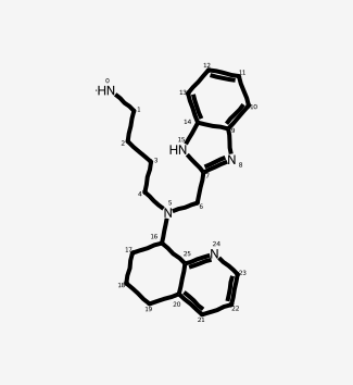 [NH]CCCCN(Cc1nc2ccccc2[nH]1)C1CCCc2cccnc21